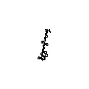 NCCOCCNC(=O)CCCC(=O)ON1C(=O)CCC1=O